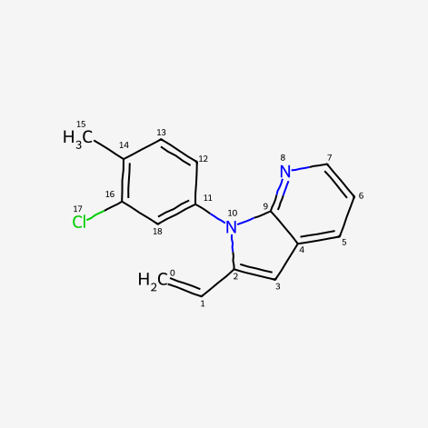 C=Cc1cc2cccnc2n1-c1ccc(C)c(Cl)c1